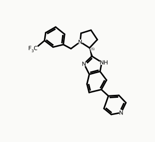 FC(F)(F)c1cccc(CN2CCC[C@H]2c2nc3ccc(-c4ccncc4)cc3[nH]2)c1